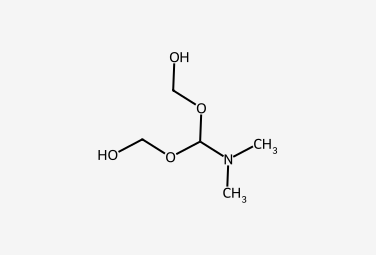 CN(C)C(OCO)OCO